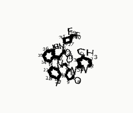 Cc1ccnc(N2C(=O)CC[C@H]2C(=O)N(c2cccc(F)c2)[C@H](C(=O)NC2CC(F)(F)C2)c2ccccc2Cl)c1